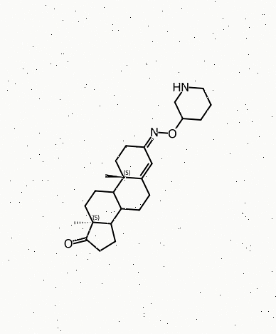 C[C@]12CCC3C(CCC4=CC(=NOC5CCCNC5)CC[C@]43C)C1CCC2=O